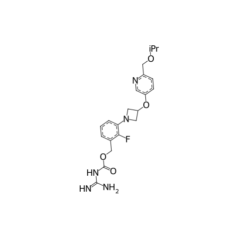 CC(C)OCc1ccc(OC2CN(c3cccc(COC(=O)NC(=N)N)c3F)C2)cn1